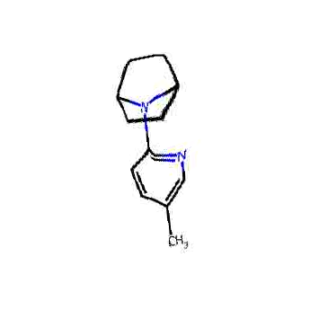 Cc1ccc(N2C3CCC2CC3)nc1